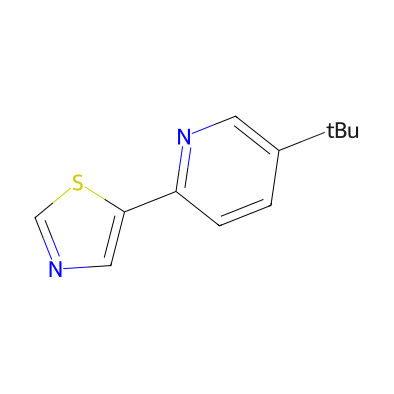 CC(C)(C)c1ccc(-c2cncs2)nc1